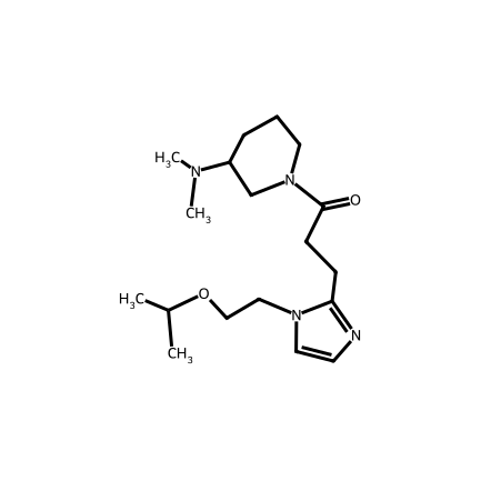 CC(C)OCCn1ccnc1CCC(=O)N1CCCC(N(C)C)C1